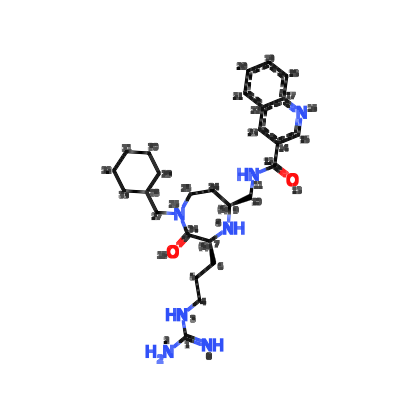 N=C(N)NCCC[C@@H]1N[C@H](CNC(=O)c2cnc3ccccc3c2)CCN(CC2CCCCC2)C1=O